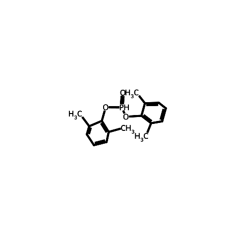 Cc1cccc(C)c1O[PH](=O)Oc1c(C)cccc1C